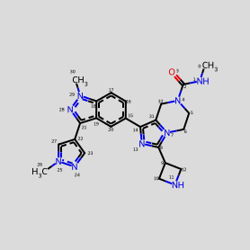 CNC(=O)N1CCn2c(C3CNC3)nc(-c3ccc4c(c3)c(-c3cnn(C)c3)nn4C)c2C1